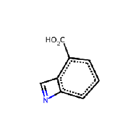 O=C(O)c1cccc2c1C=N2